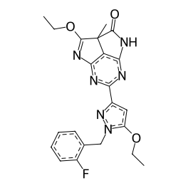 CCOC1=Nc2nc(-c3cc(OCC)n(Cc4ccccc4F)n3)nc3c2C1(C)C(=O)N3